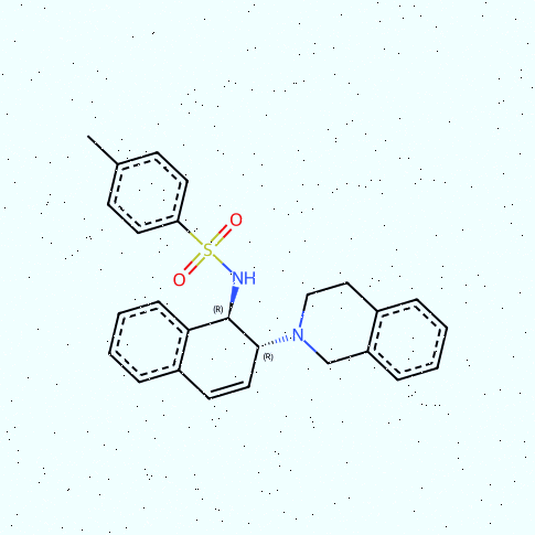 Cc1ccc(S(=O)(=O)N[C@@H]2c3ccccc3C=C[C@H]2N2CCc3ccccc3C2)cc1